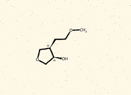 COCC[C@@H]1COC[C@@H]1O